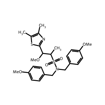 COc1ccc(CN(Cc2ccc(OC)cc2)S(=O)(=O)C(C)C(OC)c2nc(C)c(C)s2)cc1